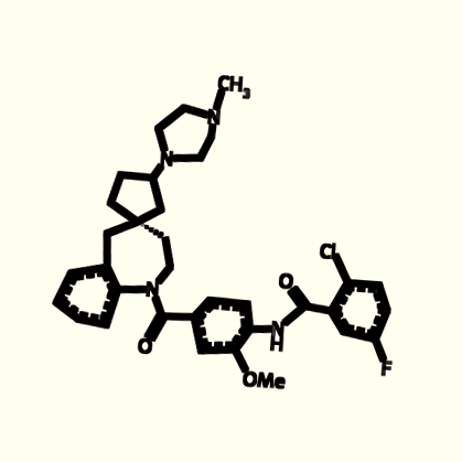 COc1cc(C(=O)N2CC[C@@]3(CCC(N4CCN(C)CC4)C3)Cc3ccccc32)ccc1NC(=O)c1cc(F)ccc1Cl